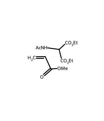 C=CC(=O)OC.CCOC(=O)C(NC(C)=O)C(=O)OCC